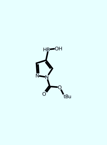 CC(C)(C)OC(=O)n1cc(BO)cn1